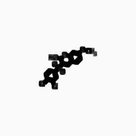 COc1ccc2c(c1)OC(O)C(S(=O)(=O)c1ccc(Cl)c(Cl)c1)=C2